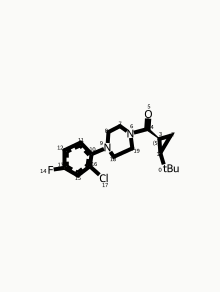 CC(C)(C)C1C[C@@H]1C(=O)N1CCN(c2ccc(F)cc2Cl)CC1